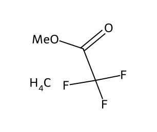 C.COC(=O)C(F)(F)F